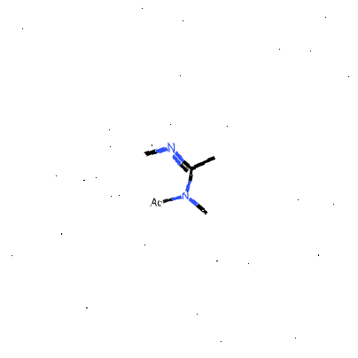 C/N=C(/C)N(C)C(C)=O